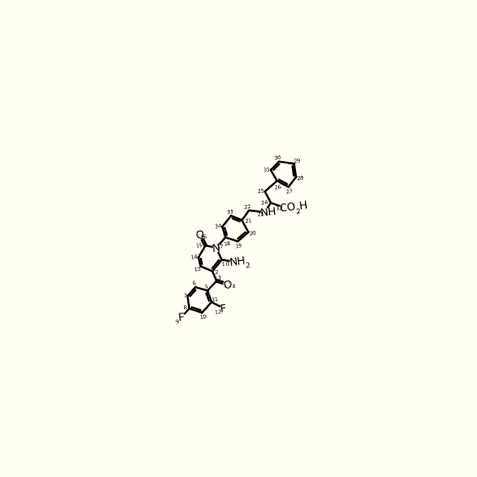 Nc1c(C(=O)c2ccc(F)cc2F)ccc(=O)n1-c1ccc(CNC(Cc2ccccc2)C(=O)O)cc1